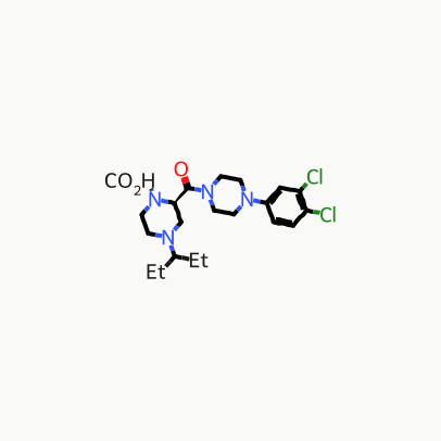 CCC(CC)N1CCN(C(=O)O)[C@@H](C(=O)N2CCN(c3ccc(Cl)c(Cl)c3)CC2)C1